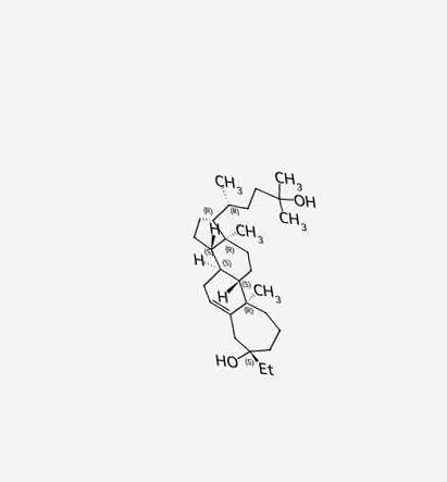 CC[C@]1(O)CCC[C@@]2(C)C(=CC[C@H]3[C@@H]4CC[C@H]([C@H](C)CCC(C)(C)O)[C@@]4(C)CC[C@@H]32)C1